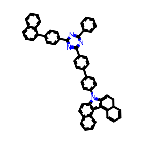 C1=CC2=c3c(n(-c4ccc(-c5ccc(-c6nc(-c7ccccc7)nc(-c7ccc(-c8cccc9ccccc89)cc7)n6)cc5)cc4)c4ccc5ccccc5c34)=CCC2C=C1